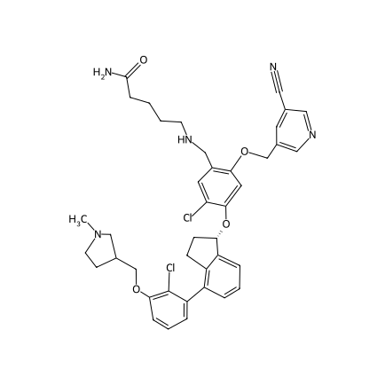 CN1CCC(COc2cccc(-c3cccc4c3CC[C@@H]4Oc3cc(OCc4cncc(C#N)c4)c(CNCCCCC(N)=O)cc3Cl)c2Cl)C1